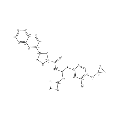 O=C(NC(Cc1ccc(OC2CC2)c(Cl)c1)CN1CCC1)[C@@H]1CCN(c2ccc3ccccc3c2)C1